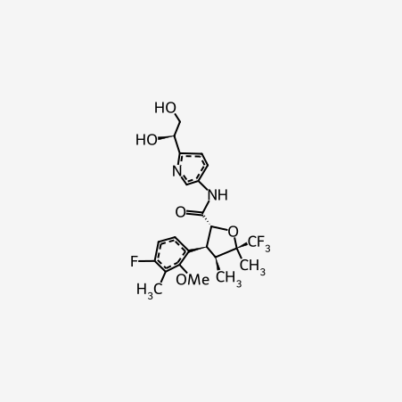 COc1c([C@H]2[C@H](C(=O)Nc3ccc([C@@H](O)CO)nc3)O[C@@](C)(C(F)(F)F)[C@H]2C)ccc(F)c1C